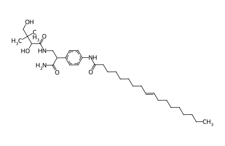 CCCCCCCCC=CCCCCCCCC(=O)Nc1ccc(C(CNC(=O)C(O)C(C)(C)CO)C(N)=O)cc1